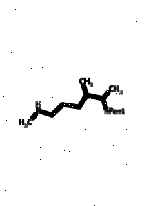 CBCCCC(C)C(C)CCCCC